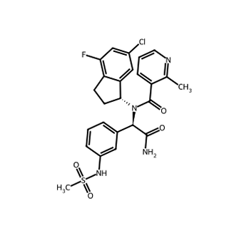 Cc1ncccc1C(=O)N([C@@H]1CCc2c(F)cc(Cl)cc21)[C@@H](C(N)=O)c1cccc(NS(C)(=O)=O)c1